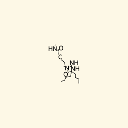 CCCCC1(CCCC)NC(=N)N(CCCCCC(=O)NC)C1=O